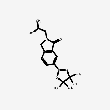 CC(O)CN1Cc2ccc(B3OC(C)(C)C(C)(C)O3)cc2C1=O